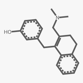 CN(C)CC1=C(Cc2cccc(O)c2)c2ccccc2CC1